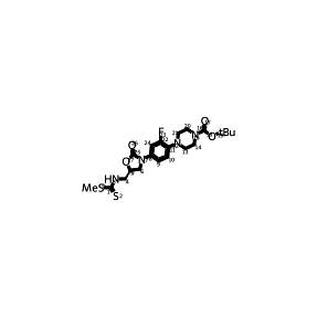 CSC(=S)NC[C@@H]1CN(c2ccc(N3CCN(C(=O)OC(C)(C)C)CC3)c(F)c2)C(=O)O1